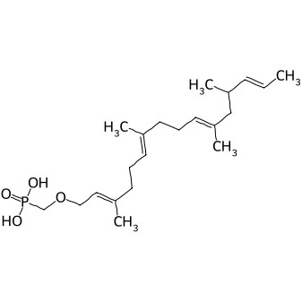 CC=CC(C)CC(C)=CCCC(C)=CCCC(C)=CCOCP(=O)(O)O